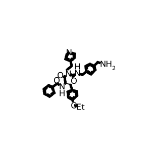 CCOc1ccc(C[C@@H](NC(=O)c2ccccc2)C(=O)N(CCc2ccncc2)C(=O)NCc2ccc(CN)cc2)cc1